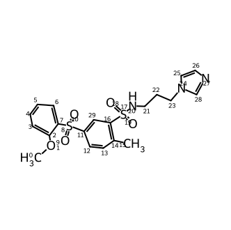 COc1ccccc1S(=O)(=O)c1ccc(C)c(S(=O)(=O)NCCCn2ccnc2)c1